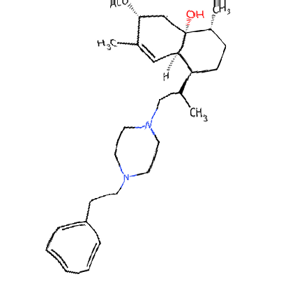 CC(=O)O[C@@H]1[CH][C@@]2(O)[C@H](C)CC[C@@H](C(C)CN3CCN(CCc4ccccc4)CC3)[C@H]2C=C1C